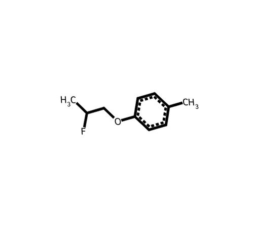 Cc1ccc(OCC(C)F)cc1